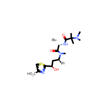 CC[C@H](C)[C@H](NC(=O)C(C)(C)N(C)C)C(=O)N(C)[C@H](C[C@@H](O)c1nc(C(=O)O)cs1)C(C)C